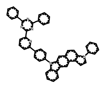 c1ccc(-c2nc(-c3ccccc3)nc(-c3cccc(-c4ccc(-n5c6ccccc6c6cc7c(ccc8c7ccn8-c7ccccc7)cc65)cc4)n3)n2)cc1